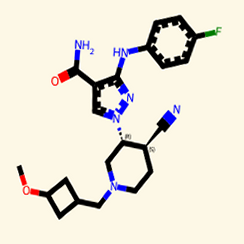 COC1CC(CN2CC[C@H](C#N)[C@@H](n3cc(C(N)=O)c(Nc4ccc(F)cc4)n3)C2)C1